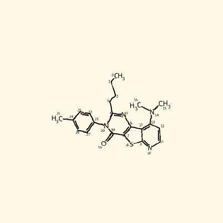 CCCCc1nc2c(sc3nccc(N(C)C)c32)c(=O)n1-c1ccc(C)cc1